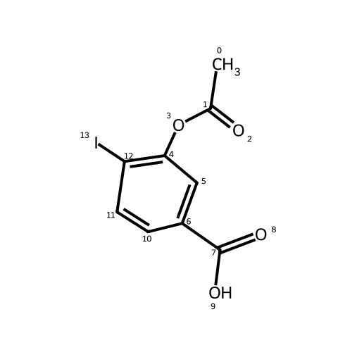 CC(=O)Oc1cc(C(=O)O)ccc1I